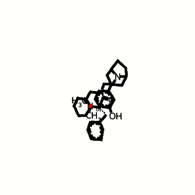 CN(C)[C@@H](Cc1ccccc1)C(=O)N(CCN1C2CCC1CC(c1cccc(O)c1)C2)CC1CCCCC1